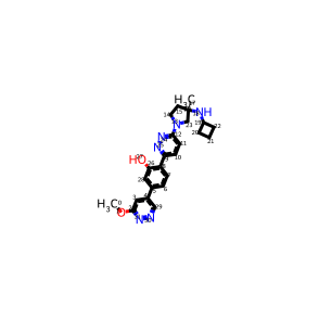 COc1cc(-c2ccc(-c3ccc(N4CC[C@@](C)(NC5CCC5)C4)nn3)c(O)c2)cnn1